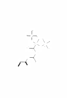 C=CC(=O)OC(C)OC(CC)[Si](C)(O[Si](C)(C)C)O[Si](C)(C)C